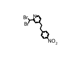 O=[N+]([O-])c1ccc(CCc2ccnc(C(Br)Br)c2)cc1